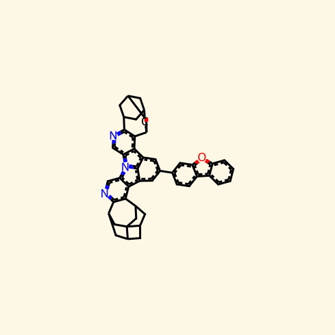 c1ccc2c(c1)oc1cc(-c3cc4c5c6c(ncc5n5c7cnc8c(c7c(c3)c45)C3CC4CC5CC8CC54C3)C3CC4CC(C3)CC6C4)ccc12